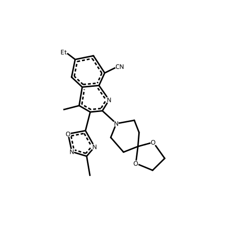 CCc1cc(C#N)c2nc(N3CCC4(CC3)OCCO4)c(-c3nc(C)no3)c(C)c2c1